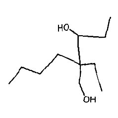 CCCCC(CC)(CO)C(O)CC